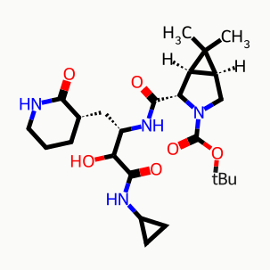 CC(C)(C)OC(=O)N1C[C@H]2[C@@H]([C@H]1C(=O)N[C@@H](C[C@@H]1CCCNC1=O)C(O)C(=O)NC1CC1)C2(C)C